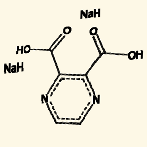 O=C(O)c1nccnc1C(=O)O.[NaH].[NaH]